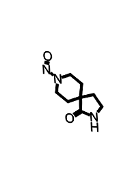 O=NN1CCC2(CCNC2=O)CC1